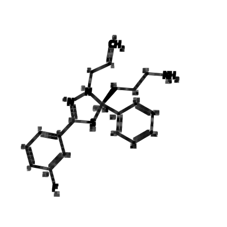 C=CCN1N=C(c2cccc(F)c2)S[C@@]1(CCCN)c1ccccc1